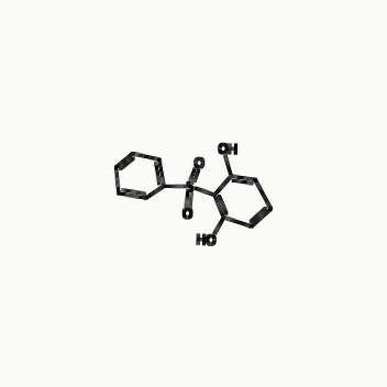 O=S(=O)(c1ccccc1)c1c(O)cccc1O